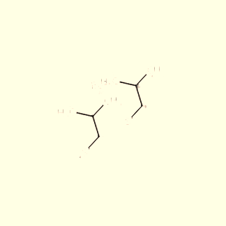 CC(C)C[S-].CC(C)C[S-].[Be+2]